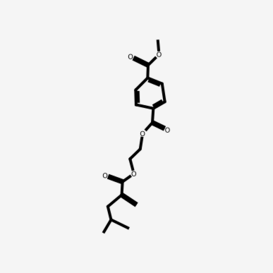 C=C(CC(C)C)C(=O)OCCOC(=O)c1ccc(C(=O)OC)cc1